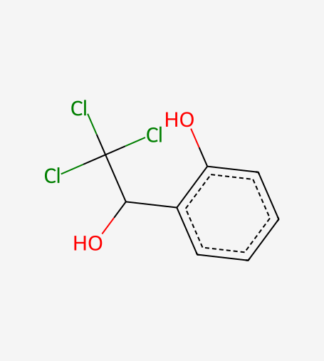 Oc1ccccc1C(O)C(Cl)(Cl)Cl